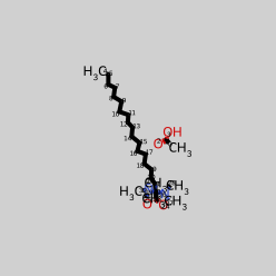 CC(=O)O.CCCCCCCCCCCCCCCCCCC(C(=O)[O-])(N(C)C)[N+](C)(C)C